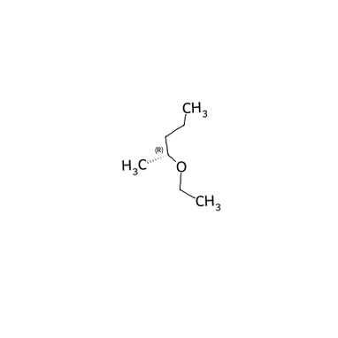 CCC[C@@H](C)OCC